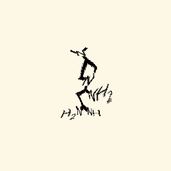 CN(C)C1CN(/C(N)=C/C(=N)N)C1